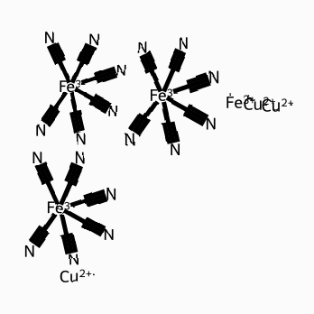 N#[C][Fe-3]([C]#N)([C]#N)([C]#N)([C]#N)[C]#N.N#[C][Fe-3]([C]#N)([C]#N)([C]#N)([C]#N)[C]#N.N#[C][Fe-3]([C]#N)([C]#N)([C]#N)([C]#N)[C]#N.[Cu+2].[Cu+2].[Cu+2].[Fe+3]